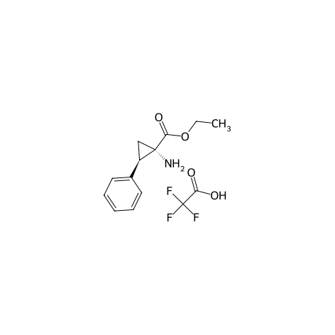 CCOC(=O)[C@]1(N)C[C@@H]1c1ccccc1.O=C(O)C(F)(F)F